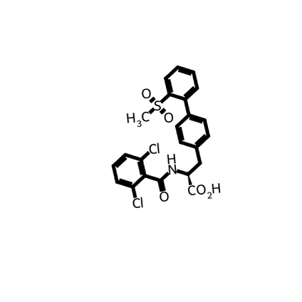 CS(=O)(=O)c1ccccc1-c1ccc(C[C@H](NC(=O)c2c(Cl)cccc2Cl)C(=O)O)cc1